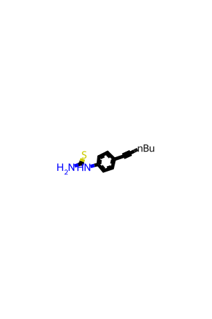 CCCCC#Cc1ccc(NC(N)=S)cc1